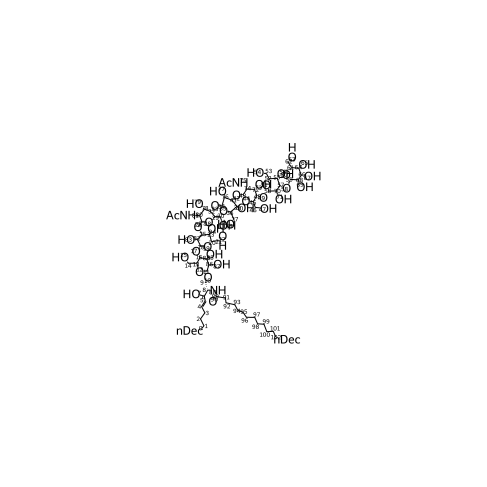 CCCCCCCCCCCCC/C=C/[C@@H](O)[C@H](CO[C@@H]1OC(CO)[C@@H](O[C@@H]2OC(CO)[C@H](O)[C@H](O[C@@H]3OC(CO)[C@@H](O[C@@H]4OC(CO)[C@H](O)[C@H](O[C@@H]5OC(CO)[C@@H](O[C@@H]6OC(CO)[C@H](O)[C@H](O[C@H]7OC(CO)[C@H](O)[C@H](O)C7O)C6O)[C@H](O)C5NC(C)=O)C4O)[C@H](O)C3NC(C)=O)C2O)[C@H](O)C1O)NC(=O)CCCCCCCCCCCCCCCCCCCCC